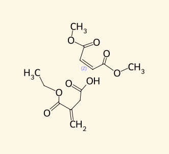 C=C(CC(=O)O)C(=O)OCC.COC(=O)/C=C\C(=O)OC